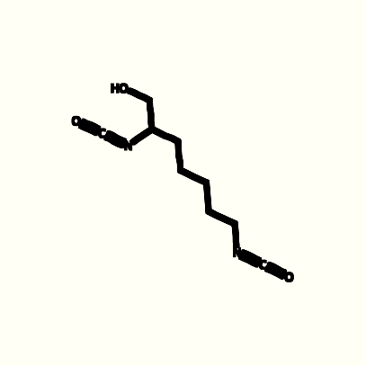 O=C=NCCCCCC(CO)N=C=O